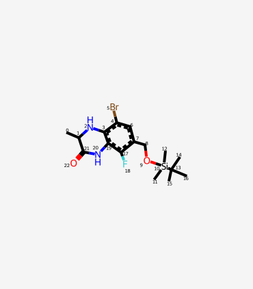 CC1Nc2c(Br)cc(CO[Si](C)(C)C(C)(C)C)c(F)c2NC1=O